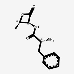 C[C@H]1OC(=O)[C@H]1NC(=O)[C@H](N)Cc1ccccc1